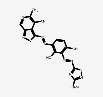 COc1nsc(/N=N/c2c(O)ccc(/N=N/c3snc4cnc(C)c(C#N)c34)c2O)n1